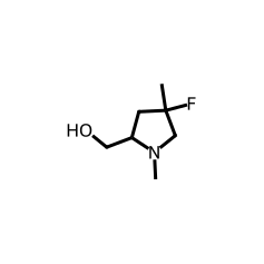 CN1CC(C)(F)CC1CO